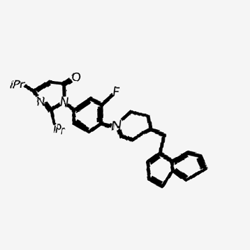 CC(C)c1cc(=O)n(-c2ccc(N3CCC(Cc4cccc5ccccc45)CC3)c(F)c2)c(C(C)C)n1